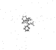 F[C@@H]1[C@H]2CCC[C@@H](C[C@@H]1N(c1cncnn1)C1CC1)N2